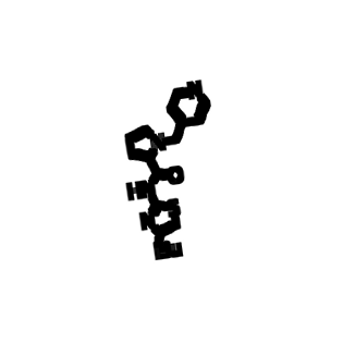 CCC(C)c1csc(NC(=O)c2cccn2Cc2ccncc2)n1